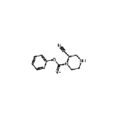 N#CC1CNCCN1C(=N)Oc1ccccc1